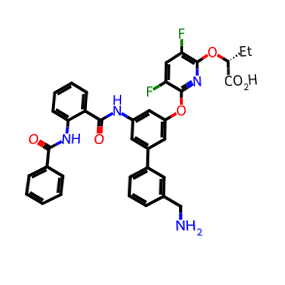 CC[C@@H](Oc1nc(Oc2cc(NC(=O)c3ccccc3NC(=O)c3ccccc3)cc(-c3cccc(CN)c3)c2)c(F)cc1F)C(=O)O